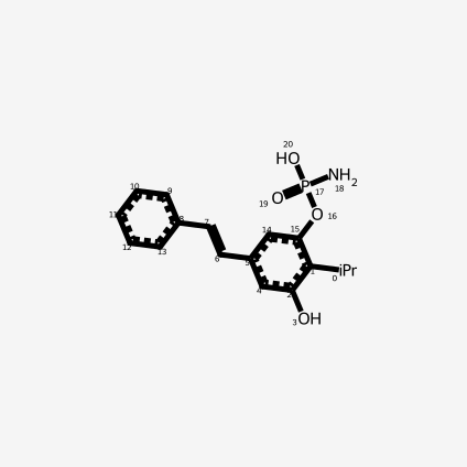 CC(C)c1c(O)cc(/C=C/c2ccccc2)cc1OP(N)(=O)O